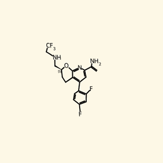 C=C(N)c1cc(-c2ccc(F)cc2F)c2c(n1)O[C@H](CNCC(F)(F)F)CC2